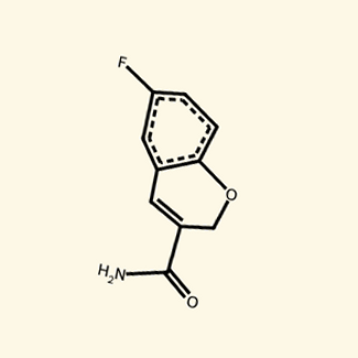 NC(=O)C1=Cc2cc(F)ccc2OC1